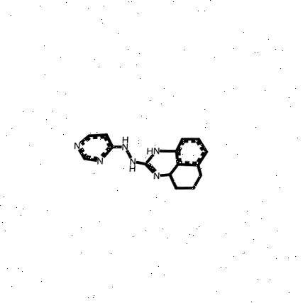 c1cc2c3c(c1)NC(NNc1ccncn1)=NC3CCC2